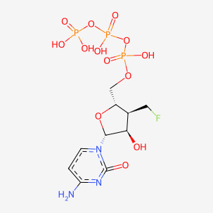 Nc1ccn([C@@H]2O[C@H](COP(=O)(O)OP(=O)(O)OP(=O)(O)O)[C@@H](CF)[C@H]2O)c(=O)n1